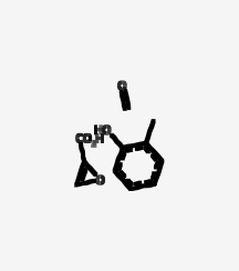 C=O.Cc1ccccc1O.O=C(O)C1=CO1